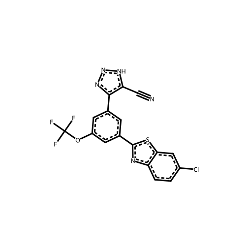 N#Cc1[nH]nnc1-c1cc(OC(F)(F)F)cc(-c2nc3ccc(Cl)cc3s2)c1